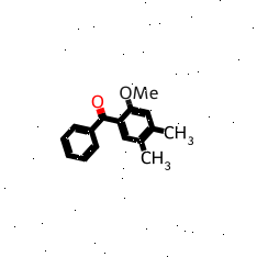 COc1cc(C)c(C)cc1C(=O)c1ccccc1